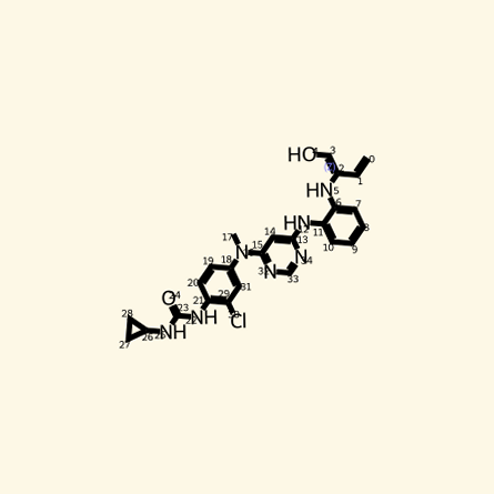 C=C/C(=C/O)Nc1ccccc1Nc1cc(N(C)c2ccc(NC(=O)NC3CC3)c(Cl)c2)ncn1